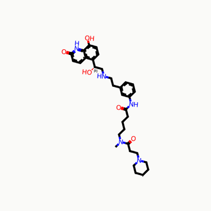 CN(CCCCC(=O)Nc1cccc(CCNC[C@H](O)c2ccc(O)c3[nH]c(=O)ccc23)c1)C(=O)CCN1CC[CH]CC1